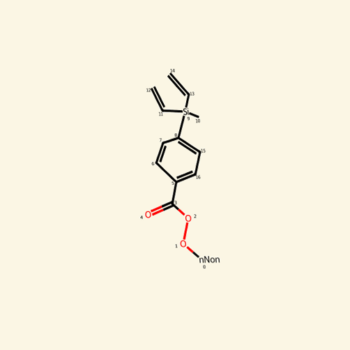 [CH2]CCCCCCCCOOC(=O)c1ccc([Si](C)(C=C)C=C)cc1